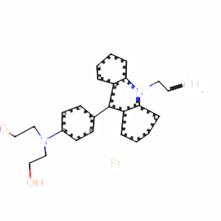 C=CC[n+]1c2ccccc2c(-c2ccc(N(CCO)CCO)cc2)c2ccccc21.[Br-]